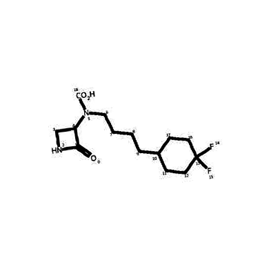 O=C1NCC1N(CCCCC1CCC(F)(F)CC1)C(=O)O